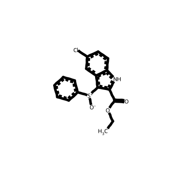 CCOC(=O)c1[nH]c2ccc(Cl)cc2c1[S+]([O-])c1ccccc1